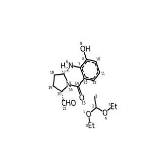 CCOC(C)OCC.Nc1c(O)cccc1C(=O)N1CCC[C@H]1C=O